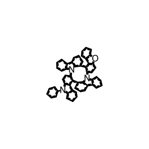 c1ccc(-n2c3ccccc3c3c4c5cccc6c7ccccc7n(c7ccc8oc9ccccc9c8c7c7cccc8c9ccccc9n(c4ccc32)c87)c65)cc1